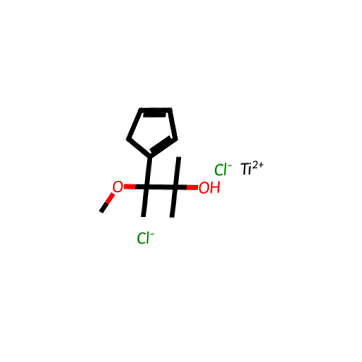 COC(C)(C1=CC=CC1)C(C)(C)O.[Cl-].[Cl-].[Ti+2]